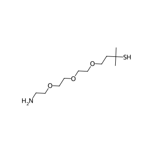 CC(C)(S)CCOCCOCCOCCN